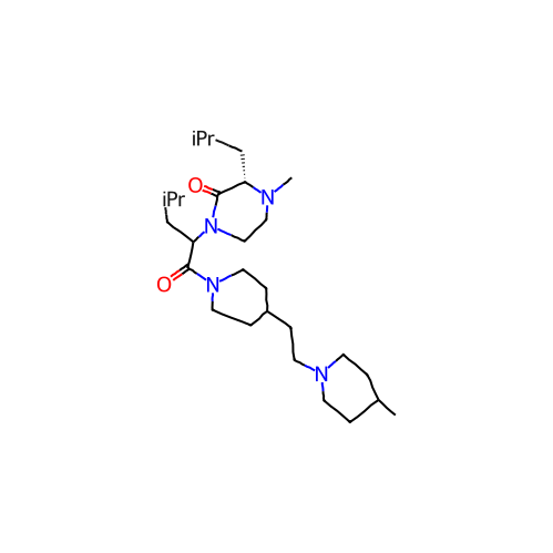 CC(C)CC(C(=O)N1CCC(CCN2CCC(C)CC2)CC1)N1CCN(C)[C@@H](CC(C)C)C1=O